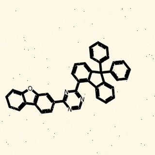 C1=c2oc3cc(-c4ncnc(-c5cccc6c5-c5ccccc5C6(c5ccccc5)c5ccccc5)n4)ccc3c2=CCC1